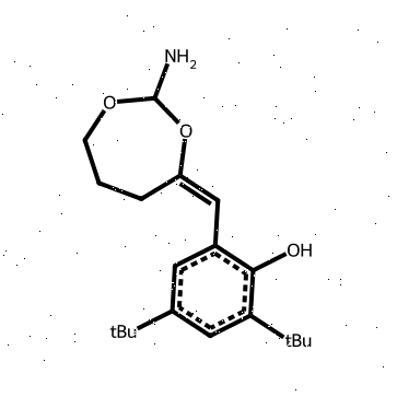 CC(C)(C)c1cc(C=C2CCCOC(N)O2)c(O)c(C(C)(C)C)c1